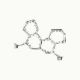 Brc1cc2cc(Br)c3ccccc3c2c2ccccc12